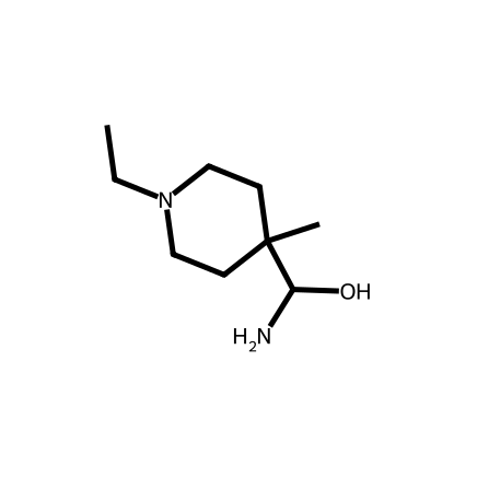 CCN1CCC(C)(C(N)O)CC1